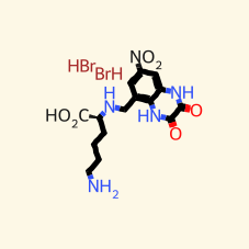 Br.Br.NCCCC[C@H](NCc1cc([N+](=O)[O-])cc2[nH]c(=O)c(=O)[nH]c12)C(=O)O